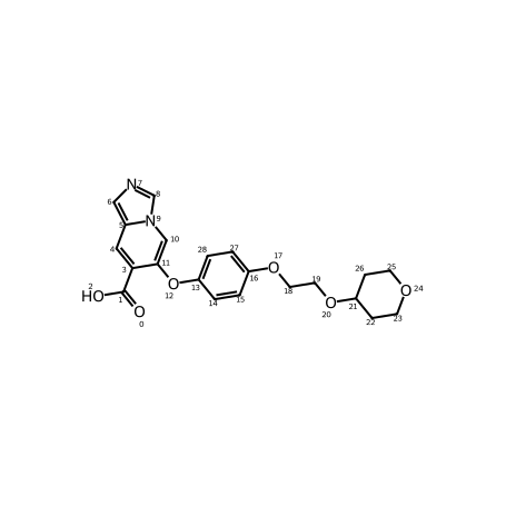 O=C(O)c1cc2cncn2cc1Oc1ccc(OCCOC2CCOCC2)cc1